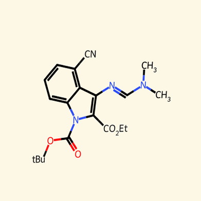 CCOC(=O)c1c(/N=C/N(C)C)c2c(C#N)cccc2n1C(=O)OC(C)(C)C